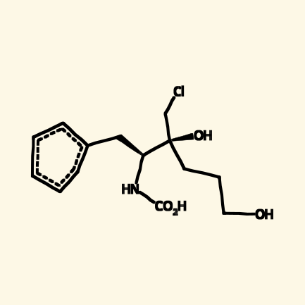 O=C(O)N[C@@H](Cc1ccccc1)[C@](O)(CCl)CCCO